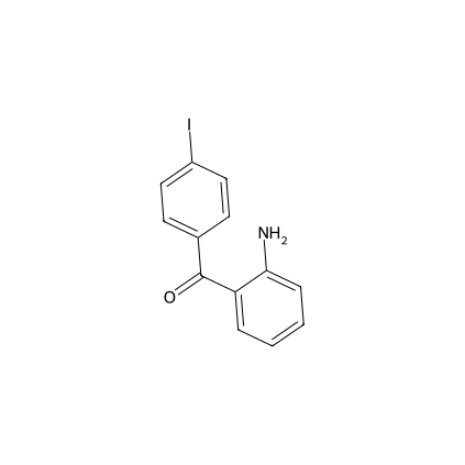 Nc1ccccc1C(=O)c1ccc(I)cc1